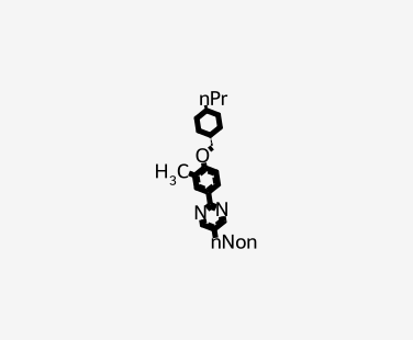 CCCCCCCCCc1cnc(-c2ccc(OC[C@H]3CC[C@H](CCC)CC3)c(C)c2)nc1